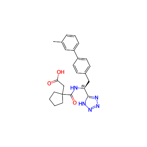 Cc1cccc(-c2ccc(C[C@H](NC(=O)C3(CC(=O)O)CCCC3)c3nnn[nH]3)cc2)c1